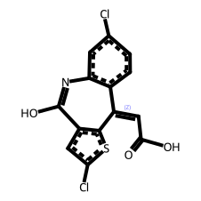 O=C(O)/C=C1/c2ccc(Cl)cc2N=C(O)c2cc(Cl)sc21